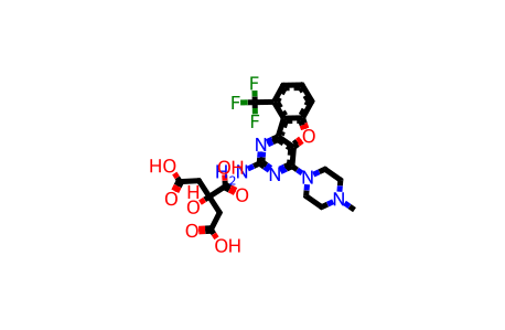 CN1CCN(c2nc(N)nc3c2oc2cccc(C(F)(F)F)c23)CC1.O=C(O)CC(O)(CC(=O)O)C(=O)O